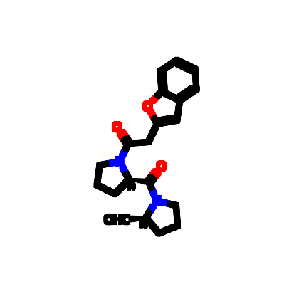 O=C[C@@H]1CCCN1C(=O)[C@@H]1CCCN1C(=O)Cc1cc2ccccc2o1